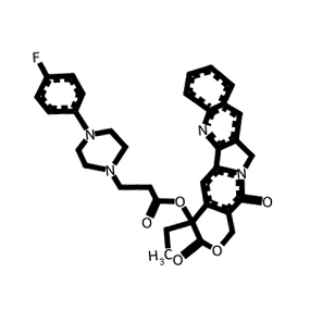 CCC1(OC(=O)CCN2CCN(c3ccc(F)cc3)CC2)C(=O)OCc2c1cc1n(c2=O)Cc2cc3ccccc3nc2-1